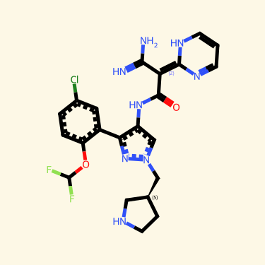 N=C(N)/C(C(=O)Nc1cn(C[C@H]2CCNC2)nc1-c1cc(Cl)ccc1OC(F)F)=C1/N=CC=CN1